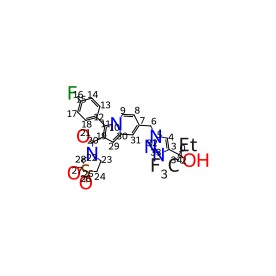 CCC(O)(c1cn(Cc2ccn3c(-c4ccc(F)cc4)c(C(=O)N4CCS(=O)(=O)C4)cc3c2)nn1)C(F)(F)F